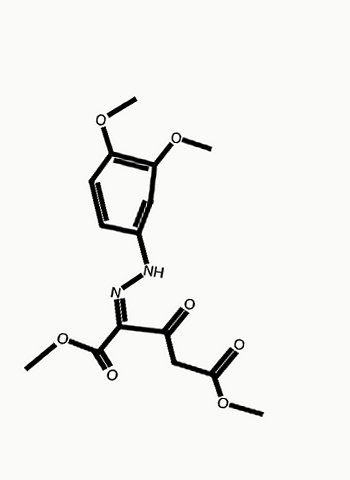 COC(=O)CC(=O)/C(=N\Nc1ccc(OC)c(OC)c1)C(=O)OC